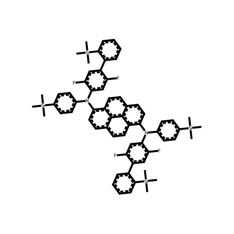 C[Si](C)(C)c1ccc(N(c2cc(F)c(-c3ccccc3[Si](C)(C)C)cc2F)c2ccc3ccc4c(N(c5ccc([Si](C)(C)C)cc5)c5cc(F)c(-c6ccccc6[Si](C)(C)C)cc5F)ccc5ccc2c3c54)cc1